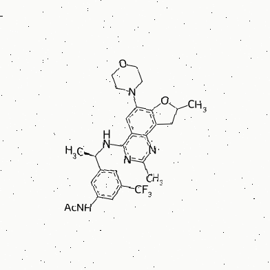 CC(=O)Nc1cc([C@@H](C)Nc2nc(C)nc3c4c(c(N5CCOCC5)cc23)OC(C)C4)cc(C(F)(F)F)c1